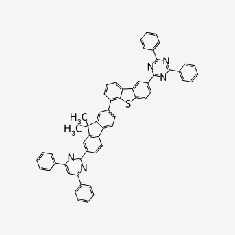 CC1(C)c2cc(-c3nc(-c4ccccc4)cc(-c4ccccc4)n3)ccc2-c2ccc(-c3cccc4c3sc3ccc(-c5nc(-c6ccccc6)nc(-c6ccccc6)n5)cc34)cc21